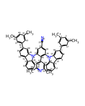 Cc1cc(C)cc(-c2ccc3c4ccccc4n(-c4cc(C#N)cc(-n5c6ccccc6c6ccc(-c7cc(C)cc(C)c7)cc65)c4-c4cc(C)nc(C)c4)c3c2)c1